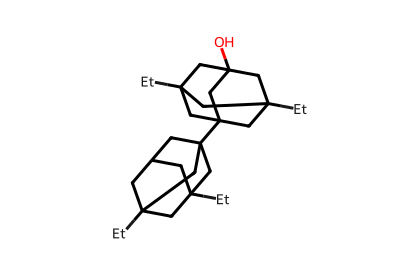 CCC12CC3CC(CC)(C1)CC(C14CC5(O)CC(CC)(CC(CC)(C5)C1)C4)(C3)C2